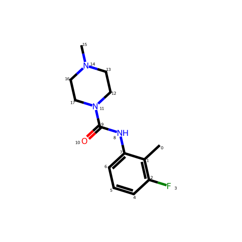 Cc1c(F)cccc1NC(=O)N1CCN(C)CC1